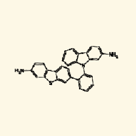 Nc1ccc2c(c1)sc1cc(-c3ccccc3-n3c4ccccc4c4ccc(N)cc43)ccc12